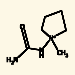 C[N+]1(NC(N)=O)CCCC1